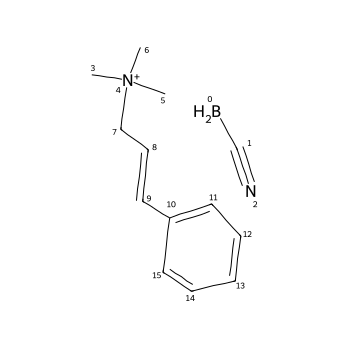 BC#N.C[N+](C)(C)CC=Cc1ccccc1